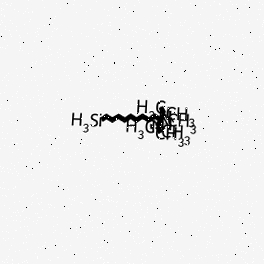 CN(C)C(CCCCCCCCC[SiH3])(N(C)C)N(C)C